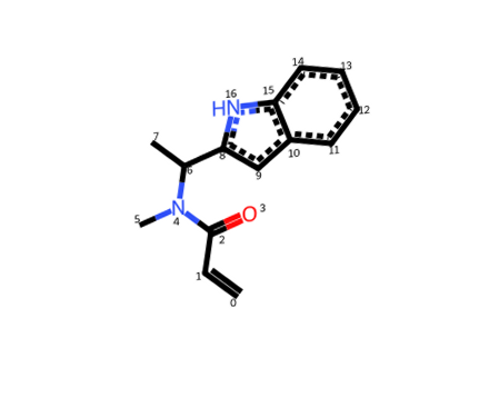 C=CC(=O)N(C)C(C)c1cc2ccccc2[nH]1